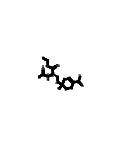 CCOC(=O)[C@H](CSC1(C)CC=C(C(C)C)CC1)NC(C)=O